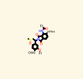 CCCCCCc1ccc2c(c1NC(=O)CC)C(=O)N(C(C[S+](C)[O-])c1ccc(OC)c(OCC)c1)C2=O